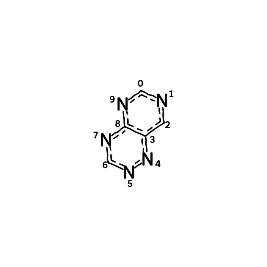 c1ncc2nncnc2n1